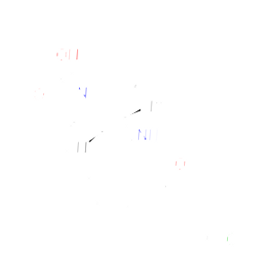 O=C(CCCCl)c1cccc2c1N[C@H]1CCN(C(=O)O)C[C@@H]21